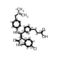 CN(C)Cc1ccc(N/C(=C2\C(=O)Nc3cc(Cl)ccc32)c2ccc(CCC(=O)O)s2)cc1